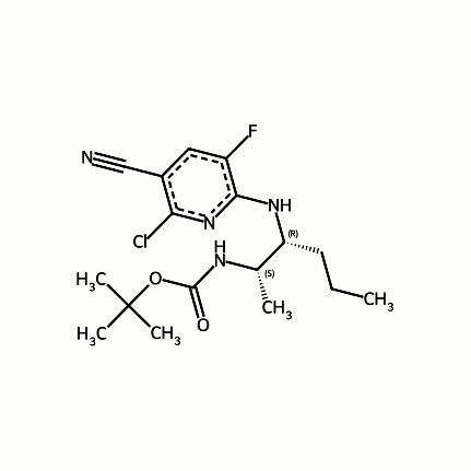 CCC[C@@H](Nc1nc(Cl)c(C#N)cc1F)[C@H](C)NC(=O)OC(C)(C)C